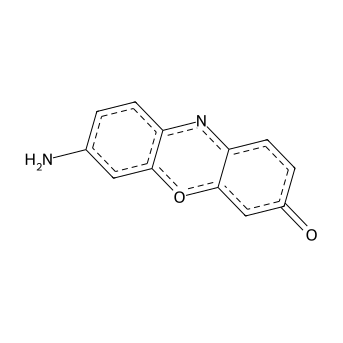 Nc1ccc2nc3ccc(=O)cc-3oc2c1